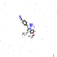 CC/C=C(/c1ccc(C#N)cc1)N(N)c1ccc(OC)cc1